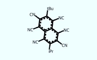 [C-]#[N+]c1c(C(C)(C)C)c([N+]#[C-])c2c([N+]#[C-])c(C#N)c(C(C)C)c(C#N)c2c1C#N